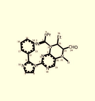 CCCC(=N)N1c2nc(-n3ccnc3-c3ccccc3)ncc2N(C)C(C=O)C1CC